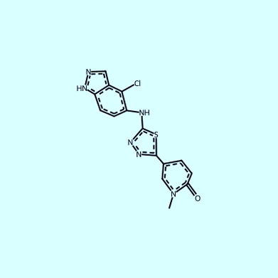 Cn1cc(-c2nnc(Nc3ccc4[nH]ncc4c3Cl)s2)ccc1=O